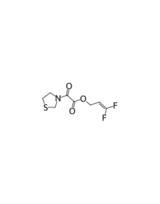 O=C(OCC=C(F)F)C(=O)N1CCSC1